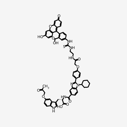 CC(=O)COc1ccc2[nH]cc(C[C@H](NC(=O)c3ccc4c(c3)nc(-c3ccc(OCC(=O)NCCNC(=S)Nc5ccc(-c6c7ccc(=O)cc-7oc7cc(O)ccc67)c(C(=O)O)c5)cc3)n4C3CCCCC3)C(=O)O)c2c1